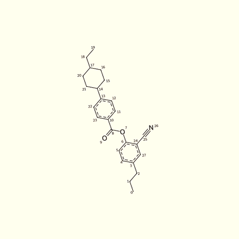 CCCc1ccc(OC(=O)c2ccc(C3CCC(CC)CC3)cc2)c(C#N)c1